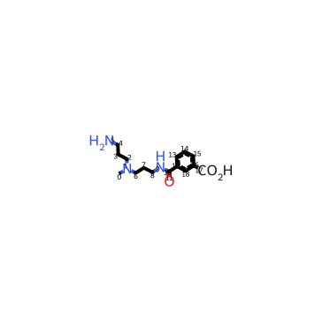 CN(CCCN)CCCNC(=O)c1cccc(C(=O)O)c1